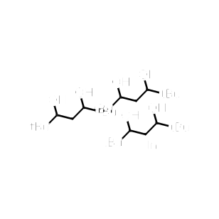 CC(C)(C)C(O)CC(O)C(C)(C)C.CC(C)(C)C(O)CC(O)C(C)(C)C.CC(C)(C)C(O)CC(O)C(C)(C)C.[In]